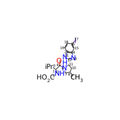 CC(C)[C@H](NC(=O)O)C(=O)N1C[C@H](C)C[C@H]1c1nc2cc(I)ccc2[nH]1